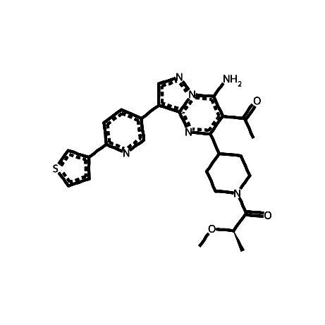 CO[C@H](C)C(=O)N1CCC(c2nc3c(-c4ccc(-c5ccsc5)nc4)cnn3c(N)c2C(C)=O)CC1